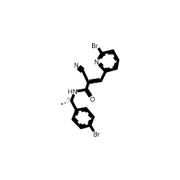 C[C@H](NC(=O)/C(C#N)=C/c1cccc(Br)n1)c1ccc(Br)cc1